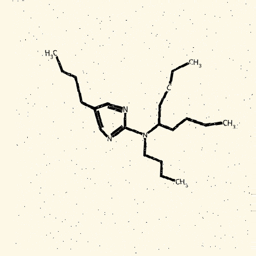 CCCCc1cnc(N(CCCC)C(CCCC)CCCC)nc1